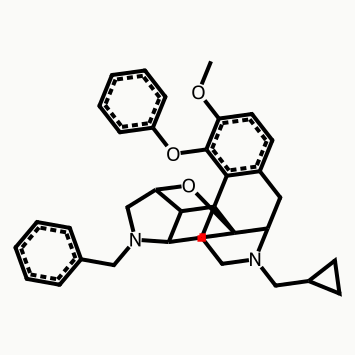 COc1ccc2c(c1Oc1ccccc1)C13CCN(CC4CC4)C(C2)C12CCC1C3C(CN1Cc1ccccc1)O2